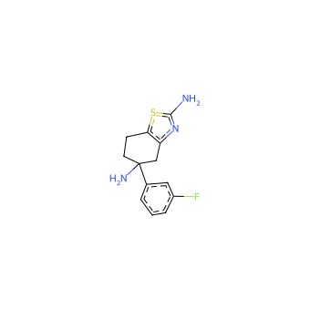 Nc1nc2c(s1)CCC(N)(c1cccc(F)c1)C2